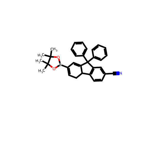 CC1(C)OB(C2=CCC3C(=C2)C(c2ccccc2)(c2ccccc2)c2cc(C#N)ccc23)OC1(C)C